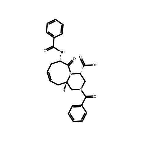 O=C(N[C@H]1C/C=C\C[C@H]2CN(C(=O)c3ccccc3)C[C@@H](C(=O)O)N2C1=O)c1ccccc1